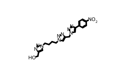 O=[N+]([O-])c1ccc(-c2cn(Cc3cn(CCCCn4cc(CO)nn4)nn3)nn2)cc1